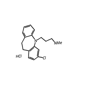 CNCCCN1c2ccccc2CCc2ccc(Cl)cc21.Cl